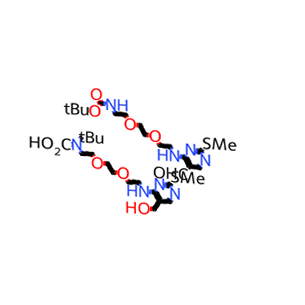 CSc1ncc(C=O)c(NCCOCCOCCNC(=O)OC(C)(C)C)n1.CSc1ncc(CO)c(NCCOCCOCCN(C(=O)O)C(C)(C)C)n1